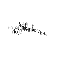 CC(=O)NC(=O)C(CC(F)CCNC(=O)CCCc1ccc(C)cc1)NC(=O)CN1CCN(CC(=O)O)CCN(CC(=O)O)CCN(CC(=O)O)CC1